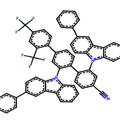 N#Cc1ccc(-c2ccc(-c3ccc(C(F)(F)F)cc3C(F)(F)F)cc2-n2c3ccccc3c3cc(-c4ccccc4)ccc32)c(-n2c3ccccc3c3cc(-c4ccccc4)ccc32)c1